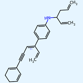 C=CCC(C=C)Nc1ccc(/C(C=C)=C/C#CC2=CCCC=C2)cc1